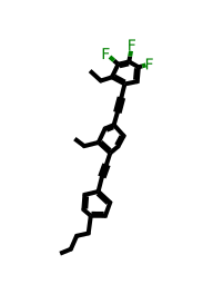 CCCCc1ccc(C#Cc2ccc(C#Cc3cc(F)c(F)c(F)c3CC)cc2CC)cc1